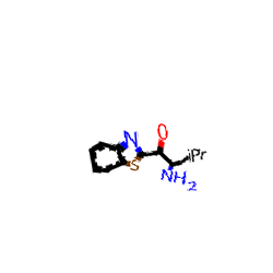 CC(C)C(N)C(=O)c1nc2ccccc2s1